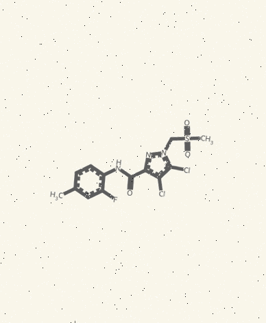 Cc1ccc(NC(=O)c2nn(CS(C)(=O)=O)c(Cl)c2Cl)c(F)c1